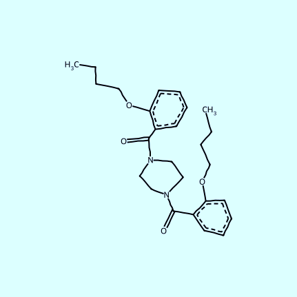 CCCCOc1ccccc1C(=O)N1CCN(C(=O)c2ccccc2OCCCC)CC1